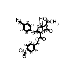 C[C@@H](O)[C@H]1C(=O)N2C(C(=O)OCc3ccc([N+](=O)[O-])cc3)=C(Oc3ccc(C#N)cc3)S[C@H]12